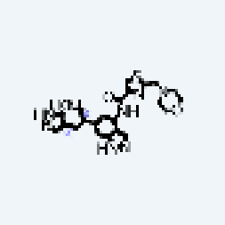 C=c1[nH]nc/c1=C/C(=C\N)c1cc(NC(=O)c2csc(CN3CCOCC3)n2)c2cn[nH]c2c1